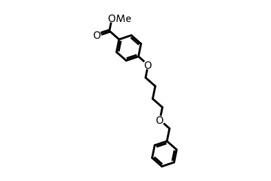 COC(=O)c1ccc(OCCCCOCc2ccccc2)cc1